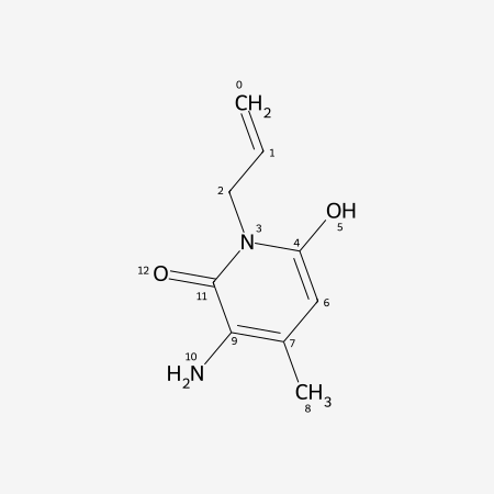 C=CCn1c(O)cc(C)c(N)c1=O